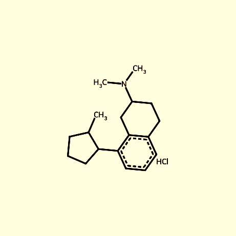 CC1CCCC1c1cccc2c1CC(N(C)C)CC2.Cl